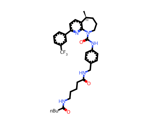 CCCCC(=O)NCCCCC(=O)NCc1ccc(NC(=O)N2CCC[C@H](C)c3ccc(-c4cccc(C(F)(F)F)c4)nc32)cc1